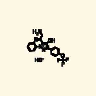 NCc1nc2ccccc2[n+]2nn(-c3ccc(OC(F)(F)F)cc3)c(O)c12.[OH-]